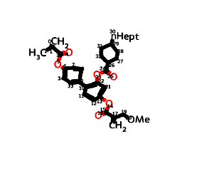 C=C(C)C(=O)Oc1ccc(-c2ccc(OC(=O)C(=C)COC)cc2OC(=O)C2CCC(CCCCCCC)CC2)cc1